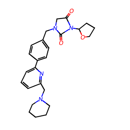 O=C1CN(Cc2ccc(-c3cccc(CN4CCCCC4)n3)cc2)C(=O)N1C1CCCO1